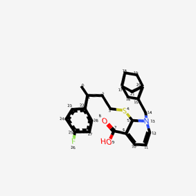 CC(CCSC1C(C(=O)O)=CC=CN1CC1CC2CCC1C2)c1ccc(F)cc1